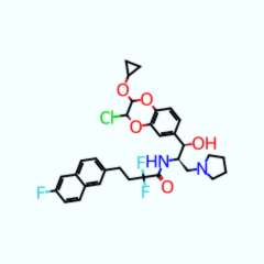 O=C(N[C@H](CN1CCCC1)[C@H](O)c1ccc2c(c1)OC(Cl)C(OC1CC1)O2)C(F)(F)CCc1ccc2cc(F)ccc2c1